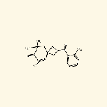 CC1(C)CC2(C=C(C#N)C1=O)CN(C(=O)c1ccccc1C(F)(F)F)C2